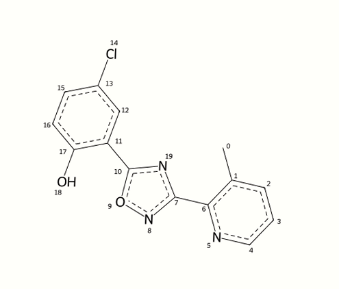 Cc1cccnc1-c1noc(-c2cc(Cl)ccc2O)n1